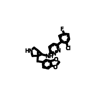 Fc1ccc(Cl)c(-c2ccc(NC3C4CNCC43Cc3ccc4c(c3)OCO4)nn2)c1